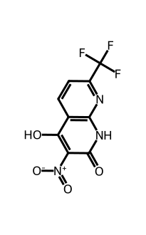 O=c1[nH]c2nc(C(F)(F)F)ccc2c(O)c1[N+](=O)[O-]